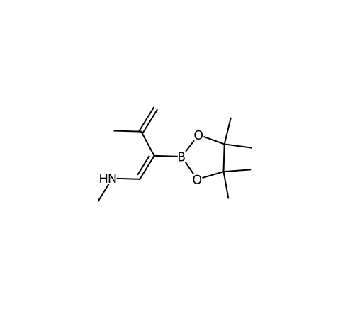 C=C(C)/C(=C\NC)B1OC(C)(C)C(C)(C)O1